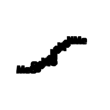 CNc1ccc(N=Nc2ccc(N=Nc3ccc(N=Nc4ccc(OC(=O)OC)cc4)c4ccccc34)cc2)cc1